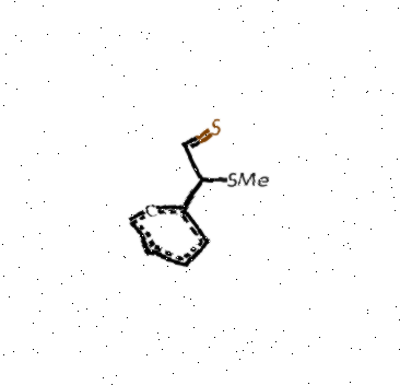 CSC(C=S)c1ccccc1